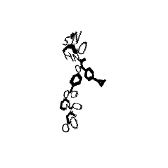 Cc1scnc1C(=O)NC(C)C(Oc1ccc(C(=O)O[C@H]2CCCN(C(=O)[C@H]3COC(=O)C3)C2)cc1)c1ccc(C2CC2)cc1